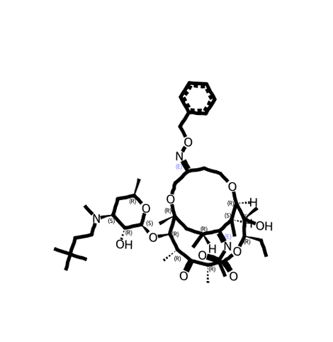 CC[C@H]1OC(=O)[C@H](C)C(=O)[C@H](C)[C@@H](O[C@@H]2O[C@H](C)C[C@H](N(C)CCC(C)(C)C)[C@H]2O)[C@@]2(C)C[C@@H](C)/C(=N\C(C)=O)[C@H](C)[C@@H](OCC/C(=N\OCc3ccccc3)CO2)[C@]1(C)O